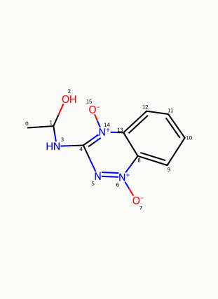 CC(O)Nc1n[n+]([O-])c2ccccc2[n+]1[O-]